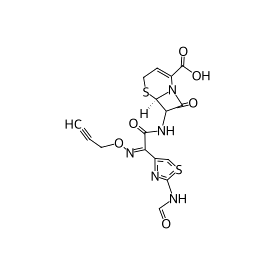 C#CCO/N=C(\C(=O)NC1C(=O)N2C(C(=O)O)=CCS[C@H]12)c1csc(NC=O)n1